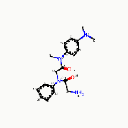 CN(C)c1ccc(N(C)C(=O)CN(C(=O)CN)c2ccccc2)cc1